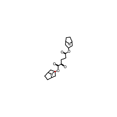 CN1C2CCC1CC(OC(=O)CCC(=O)C(=O)OC1CC3CCC(C1)N3C)C2